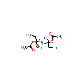 CCC(C)(/N=N/C(C)(CC)OC(C)=O)OC(C)=O